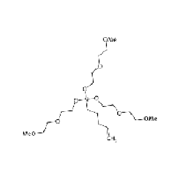 C=CCCC[Si](OCCOCCOC)(OCCOCCOC)OCCOCCOC